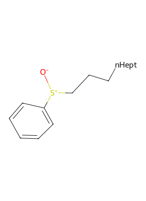 CCCCCCCCCC[S+]([O-])c1ccccc1